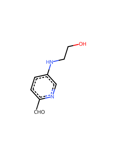 O=Cc1ccc(NCCO)cn1